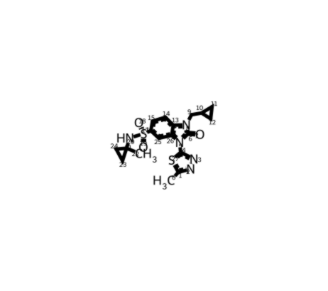 Cc1nnc(-n2c(=O)n(CC3CC3)c3ccc(S(=O)(=O)NC4(C)CC4)cc32)s1